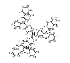 CC1CC(N(c2ccc(N(c3ccccc3)c3ccc4ccccc4c3)cc2)c2ccc(N(c3ccccc3)c3ccc4ccccc4c3)cc2)=CC=C1N(c1ccccc1)c1ccc2ccccc2c1